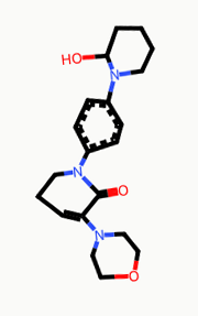 O=C1C(N2CCOCC2)=CCCN1c1ccc(N2CCCCC2O)cc1